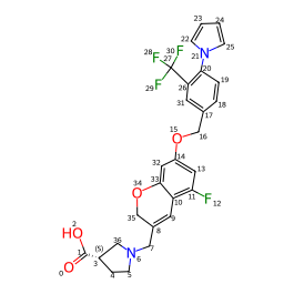 O=C(O)[C@H]1CCN(CC2=Cc3c(F)cc(OCc4ccc(-n5cccc5)c(C(F)(F)F)c4)cc3OC2)C1